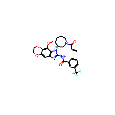 C=CC(=O)N1CCCC[C@@H](n2c(NC(=O)c3cccc(C(F)(F)F)c3)nc3cc4c(c(OC)c32)OCCO4)C1